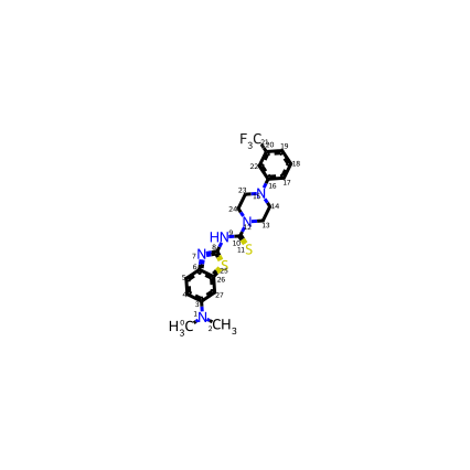 CN(C)c1ccc2nc(NC(=S)N3CCN(c4cccc(C(F)(F)F)c4)CC3)sc2c1